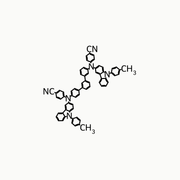 Cc1ccc(-n2c3ccccc3c3cc(N(c4ccc(C#N)cc4)c4ccc(-c5cccc(-c6cccc(N(c7ccc(C#N)cc7)c7ccc8c(c7)c7ccccc7n8-c7ccc(C)cc7)c6)c5)cc4)ccc32)cc1